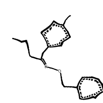 CCCC(=NOCc1ccccc1)c1ccc(C)cc1